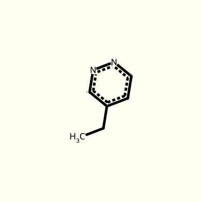 CCc1[c]nncc1